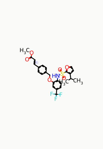 COC(=O)/C=C/c1ccc(COc2cc(C(F)(F)F)ccc2NS(=O)(=O)c2occc2C(C)C)cc1